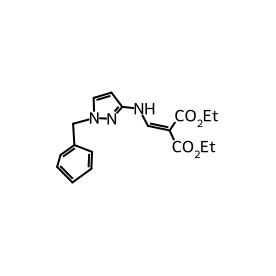 CCOC(=O)C(=CNc1ccn(Cc2ccccc2)n1)C(=O)OCC